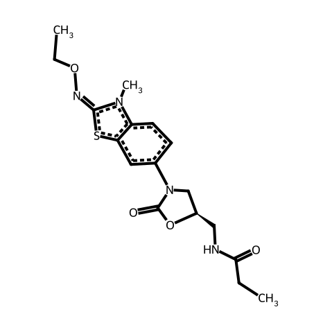 CCON=c1sc2cc(N3C[C@@H](CNC(=O)CC)OC3=O)ccc2n1C